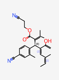 C=C(O)/C(=C\C(C)=C/C)[C@H](C(C(=O)OCCC#N)=C(C)C)c1ccc(C#N)cc1C